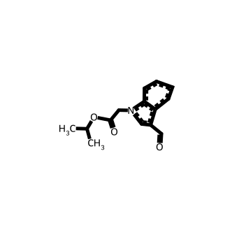 CC(C)OC(=O)Cn1cc(C=O)c2ccccc21